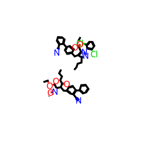 CCCCC(=O)C(Cc1ccc(-c2ccccc2)c(C#N)c1)C(=NOC)C(=O)OCC.CCCCc1nn(-c2c(Cl)cccc2Cl)c(C(=O)OCC)c1Cc1ccc(-c2ccccc2C#N)cc1